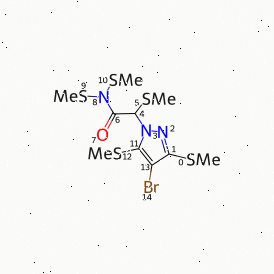 CSc1nn(C(SC)C(=O)N(SC)SC)c(SC)c1Br